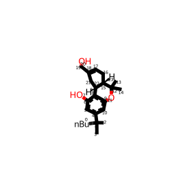 CCCCC(C)(C)c1cc(O)c2c(c1)OC(C)(C)[C@H]1CC=C(CO)C[C@H]21